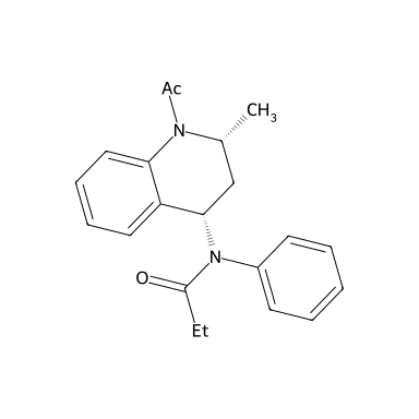 CCC(=O)N(c1ccccc1)[C@H]1C[C@@H](C)N(C(C)=O)c2ccccc21